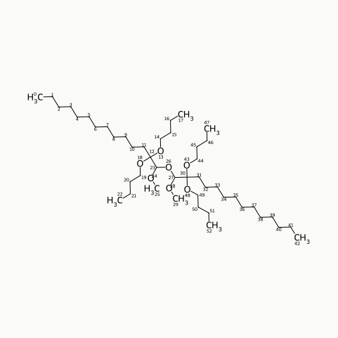 CCCCCCCCCCCCC(OCCCC)(OCCCC)C(OC)OC(OC)C(CCCCCCCCCCCC)(OCCCC)OCCCC